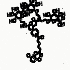 O.O=C(CC1(CCC(=O)N(CCO[C@H]2O[C@H](CO)[C@@H](O)[C@H](O)[C@@H]2O)CCO[C@@H]2O[C@@H](CO)[C@H](O)[C@@H](O)[C@H]2O)CCN(C(=O)CCCCC(=O)ON2C(=O)CCC2=O)CC1)NCC[C@H]1O[C@H](CO)[C@@H](O)[C@H](O)[C@@H]1O